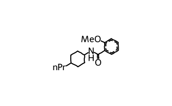 CCCC1CCC(NC(=O)c2ccccc2OC)CC1